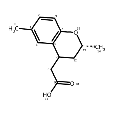 Cc1ccc2c(c1)C(CC(=O)O)C[C@@H](C)O2